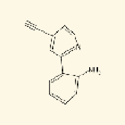 C#Cc1ccnc(-c2ccccc2N)c1